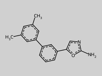 Cc1cc(C)cc(-c2cccc(-c3cnc(N)o3)c2)c1